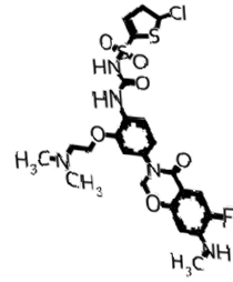 CNc1cc2c(cc1F)C(=O)N(c1ccc(NC(=O)NS(=O)(=O)C3=CCC(Cl)S3)c(OCCN(C)C)c1)CO2